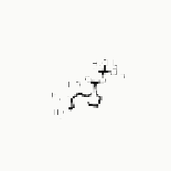 C=C[C@H](C)[C@@H](O)[C@@H]1CCCN1C(=O)OC(C)(C)C